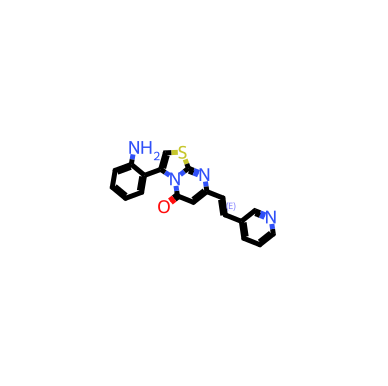 Nc1ccccc1-c1csc2nc(/C=C/c3cccnc3)cc(=O)n12